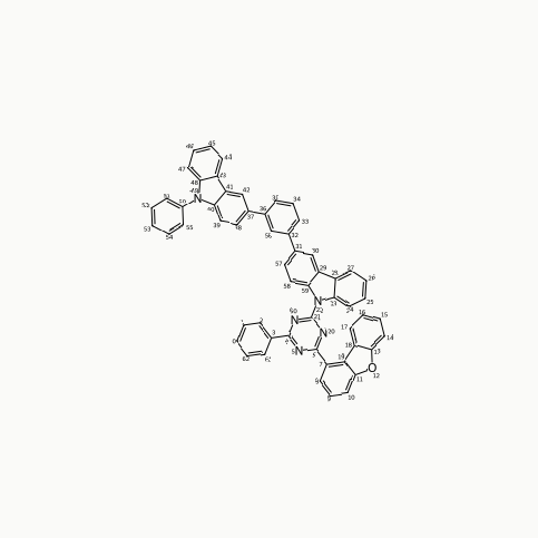 c1ccc(-c2nc(-c3cccc4oc5ccccc5c34)nc(-n3c4ccccc4c4cc(-c5cccc(-c6ccc7c(c6)c6ccccc6n7-c6ccccc6)c5)ccc43)n2)cc1